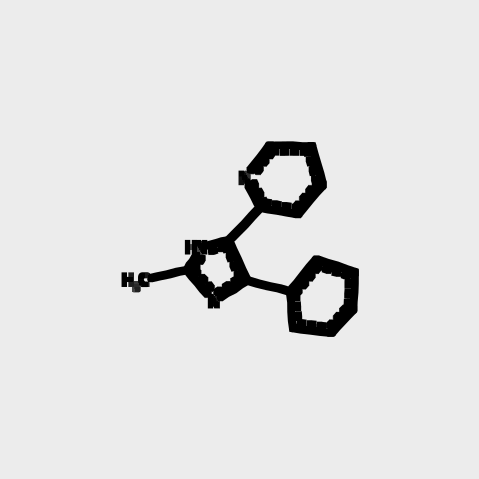 Cc1nc(-c2ccccc2)c(-c2ccccn2)[nH]1